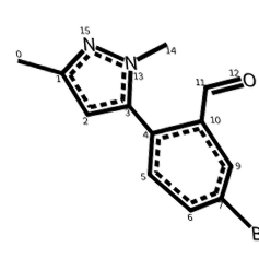 Cc1cc(-c2ccc(Br)cc2C=O)n(C)n1